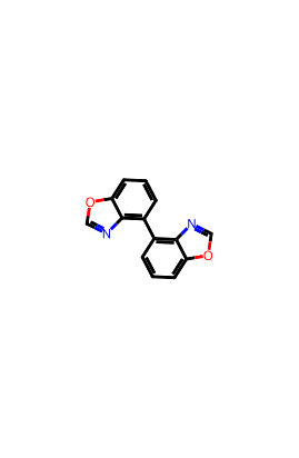 c1cc(-c2cccc3ocnc23)c2ncoc2c1